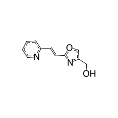 OCc1coc(C=Cc2ccccn2)n1